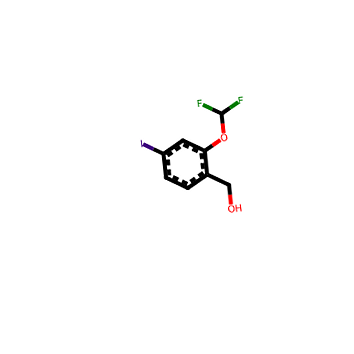 OCc1ccc(I)cc1OC(F)F